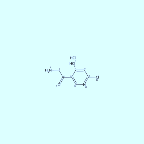 Cl.Cl.NCC(=O)c1ccc(Cl)nc1